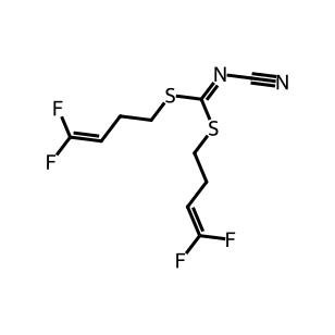 N#CN=C(SCCC=C(F)F)SCCC=C(F)F